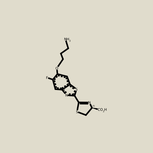 NCCCOc1cc2sc(C3=N[C@@H](C(=O)O)CS3)nc2cc1F